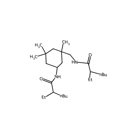 CCCCC(CC)C(=O)NCC1(C)CC(NC(=O)C(CC)CCCC)CC(C)(C)C1